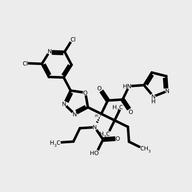 CCCN(C(=O)O)[C@@](C(=O)C(=O)Nc1ccn[nH]1)(c1nnc(-c2cc(Cl)nc(Cl)c2)o1)C(C)(C)CCC